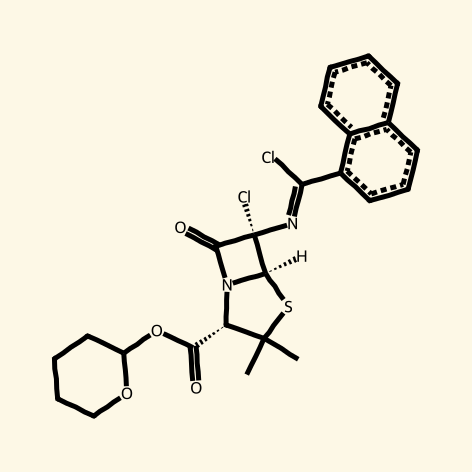 CC1(C)S[C@H]2N(C(=O)[C@@]2(Cl)N=C(Cl)c2cccc3ccccc23)[C@H]1C(=O)OC1CCCCO1